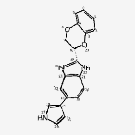 c1ccc2c(c1)OC[C@@H](c1nc3cc(-c4cc[nH]c4)ccc3[nH]1)O2